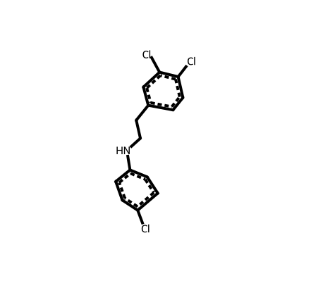 Clc1ccc(NCCc2ccc(Cl)c(Cl)c2)cc1